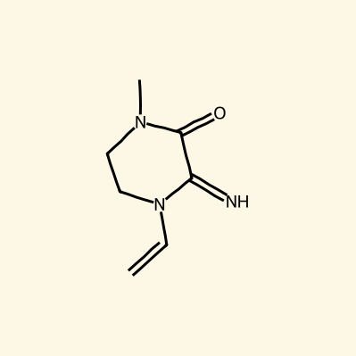 C=CN1CCN(C)C(=O)C1=N